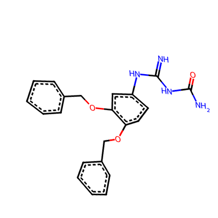 N=C(NC(N)=O)Nc1ccc(OCc2ccccc2)c(OCc2ccccc2)c1